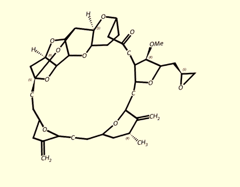 C=C1CC2CC[C@@]34C[C@H]5OC6C(OC7CCC(CC(=O)CC8C(CC9OC(CCC1O2)C[C@@H](C)C9=C)OC(C[C@H]1CO1)[C@@H]8OC)O[C@@H]7C6O3)C5O4